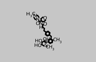 Cc1ccc([C@H]2[C@H](O)[C@H](O)[C@H](O)C[SH]2C)cc1Cc1ccc(CCCC(=O)NC2(C(=O)N3CCN(C)CC3)CCOCC2)cc1